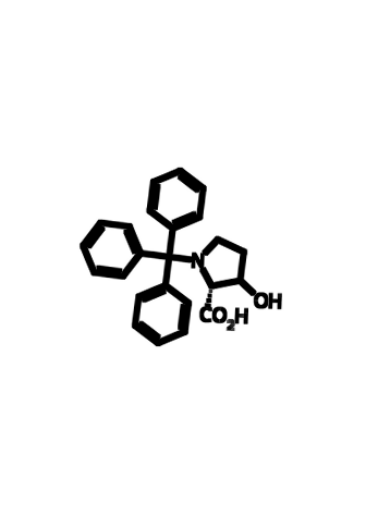 O=C(O)[C@H]1C(O)CCN1C(c1ccccc1)(c1ccccc1)c1ccccc1